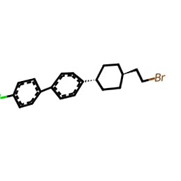 Clc1ccc(-c2ccc([C@H]3CC[C@H](CCBr)CC3)cc2)cc1